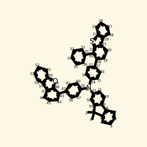 CC1(C)c2ccccc2-c2ccc(N(c3ccc(-c4ccc5c(sc6ccccc65)c4-c4ccccc4)cc3)c3ccc(-c4cccc5c4oc4ccccc45)cc3)cc21